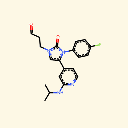 CC(C)Nc1cc(-c2cn(CCC=O)c(=O)n2-c2ccc(F)cc2)ccn1